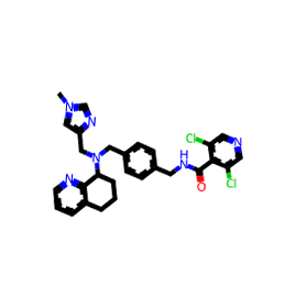 Cn1cnc(CN(Cc2ccc(CNC(=O)c3c(Cl)cncc3Cl)cc2)C2CCCc3cccnc32)c1